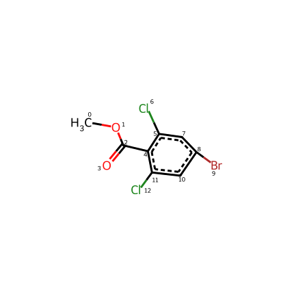 COC(=O)c1c(Cl)cc(Br)cc1Cl